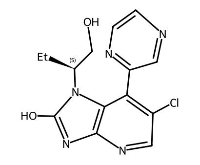 CC[C@@H](CO)n1c(O)nc2ncc(Cl)c(-c3cnccn3)c21